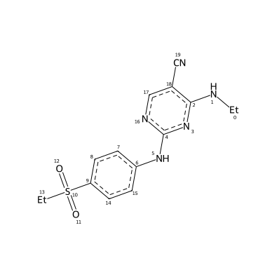 CCNc1nc(Nc2ccc(S(=O)(=O)CC)cc2)ncc1C#N